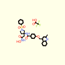 Cc1cc(COc2ccc(C(=O)NC3(CC(=O)NO)CCN(S(=O)(=O)c4ccccc4)C3)cc2)c2ccccc2n1.O=C(O)C(F)(F)F